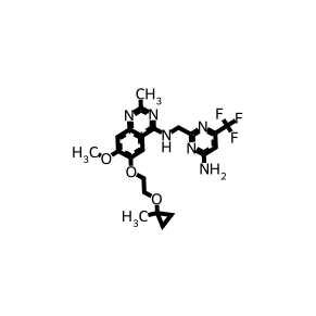 COc1cc2nc(C)nc(NCc3nc(N)cc(C(F)(F)F)n3)c2cc1OCCOC1(C)CC1